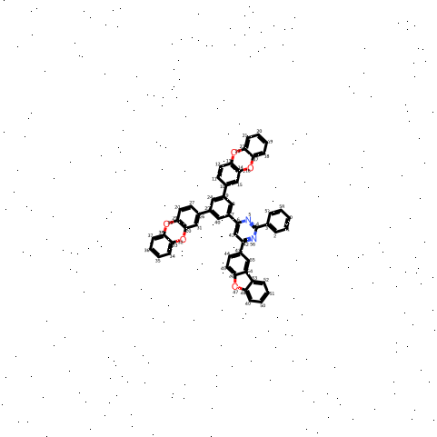 c1ccc(-c2nc(-c3cc(-c4ccc5c(c4)Oc4ccccc4O5)cc(-c4ccc5c(c4)Oc4ccccc4O5)c3)cc(-c3ccc4oc5ccccc5c4c3)n2)cc1